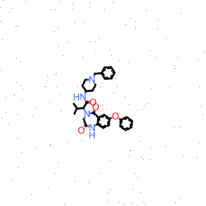 CC(C)C(C(=O)NC1CCN(Cc2ccccc2)CC1)N1CC(=O)Nc2ccc(Oc3ccccc3)cc2C1=O